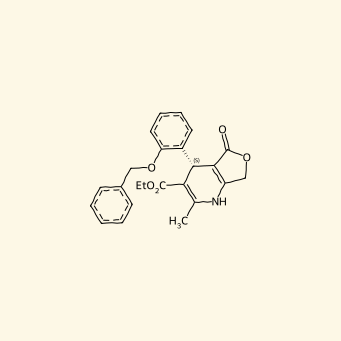 CCOC(=O)C1=C(C)NC2=C(C(=O)OC2)[C@H]1c1ccccc1OCc1ccccc1